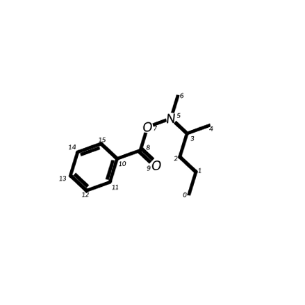 CCCC(C)N(C)OC(=O)c1ccccc1